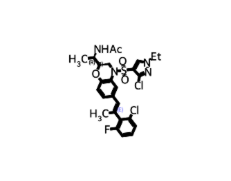 CCn1cc(S(=O)(=O)N2C[C@H]([C@@H](C)NC(C)=O)Oc3ccc(/C=C(\C)c4c(F)cccc4Cl)cc32)c(Cl)n1